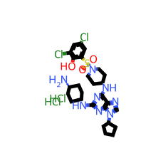 Cl.Cl.N[C@H]1CC[C@H](Nc2nc(NC3CCN(S(=O)(=O)c4cc(Cl)cc(Cl)c4O)CC3)c3ncn(C4CCCC4)c3n2)CC1